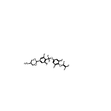 CCCC1COC(c2cc(F)c(C(F)(F)Oc3cc(F)c(OC(F)=C(F)F)c(F)c3)c(F)c2)OC1